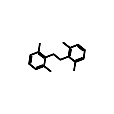 Cc1cccc(C)c1CCc1c(C)cccc1C